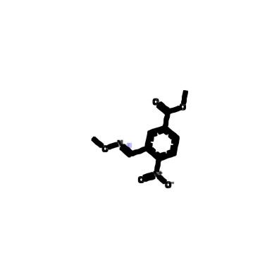 CO/N=C/c1cc(C(=O)OC)ccc1[N+](=O)[O-]